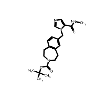 CNC(=O)c1cncn1Cc1ccc2c(c1)CCN(C(=O)OC(C)(C)C)CC2